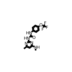 CNc1cc(C)nc(NC(=O)Nc2ccc(OC(F)(F)F)cc2)n1